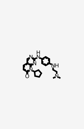 CN(C)CCNc1ccc(Nc2ncc3ccc(=O)n(C4CCCC4)c3n2)cc1